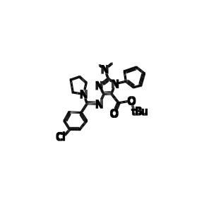 CN(C)c1nc(/N=C(/c2ccc(Cl)cc2)N2CCCC2)c(C(=O)OC(C)(C)C)n1-c1ccccc1